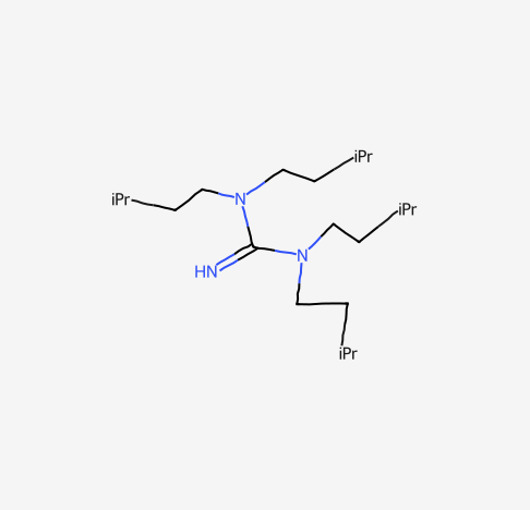 CC(C)CCN(CCC(C)C)C(=N)N(CCC(C)C)CCC(C)C